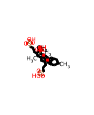 CC1CC2CC(CCCS(=O)(=O)O)CC(C1)C2C1CCC(C(C)C(CCCS(=O)(=O)O)C(C)C)CC1CCCS(=O)(=O)O